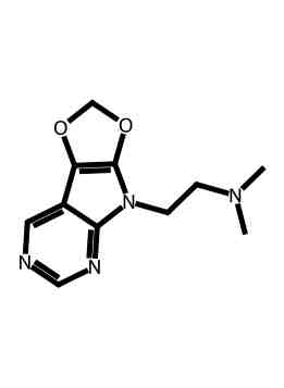 CN(C)CCn1c2c(c3cncnc31)OCO2